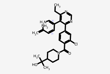 C=C(N)/C=C\C(=C/N)c1c(CC)ncnc1-c1ccc(C(=O)N2CCC(C(C)(C)O)CC2)c(Cl)c1